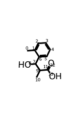 Cc1ccccc1C(O)C(C)C(=O)O